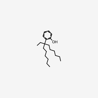 CCCCCCC(CC)(CCCCCC)c1ccccc1O